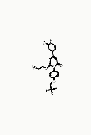 CCCOc1nc(C2C=CNC(=O)C2)cc(=O)n1-c1ccc(OCC(F)(F)F)cc1